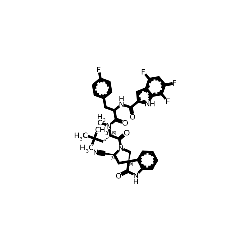 CN(C(=O)C(Cc1ccc(F)cc1)NC(=O)c1cc2c(F)cc(F)c(F)c2[nH]1)[C@@H](CC(C)(C)C)C(=O)N1C[C@]2(C[C@H]1C#N)C(=O)Nc1ccccc12